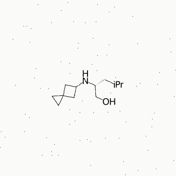 CC(C)C[C@H](CO)NC1CC2(CC2)C1